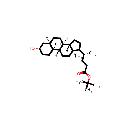 C[C@H](CCC(=O)OC(C)(C)C)C1CC[C@H]2[C@@H]3CC[C@@H]4C[C@@H](O)CC[C@]4(C)[C@H]3CC[C@]12C